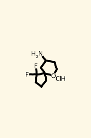 Cl.NC1CCOC2(CCCC2(F)F)C1